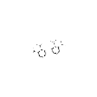 CC(C)c1cccc(Oc2cccc(C(C)C)c2C(C)C)c1C(C)C